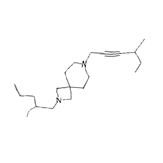 CCCC(C)CN1CC2(CCN(CC#CC(C)CC)CC2)C1